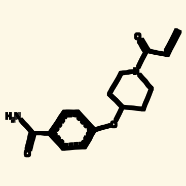 C=CC(=O)N1CCC(Oc2ccc(C(N)=O)cc2)CC1